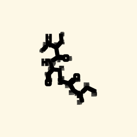 CCC(NC)C(=O)NC(C=O)CSC(=O)CN(C)CC